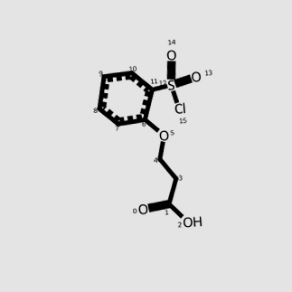 O=C(O)CCOc1ccccc1S(=O)(=O)Cl